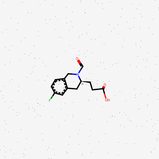 O=CN1Cc2ccc(F)cc2C[C@@H]1CCC(=O)O